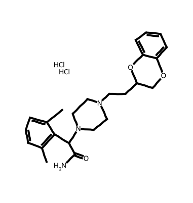 Cc1cccc(C)c1C(C(N)=O)N1CCN(CCC2COc3ccccc3O2)CC1.Cl.Cl